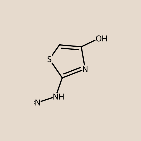 [N]Nc1nc(O)cs1